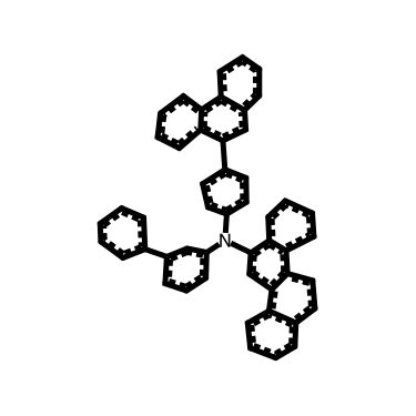 c1ccc(-c2cccc(N(c3ccc(-c4cc5ccccc5c5ccccc45)cc3)c3cc4c5ccccc5ccc4c4ccccc34)c2)cc1